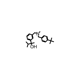 CC(C)C(C)(O)c1cccc(CN(C)Cc2ccc(C(C)(C)C)cc2)c1